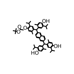 Cc1cc(O)c(C(C)C)cc1C(c1ccc2cc(C(c3cc(C(C)C)c(O)cc3C)c3cc(C(C)C)c(OCC(=O)OC(C)(C)C)cc3C)ccc2c1)c1cc(C(C)C)c(O)cc1C